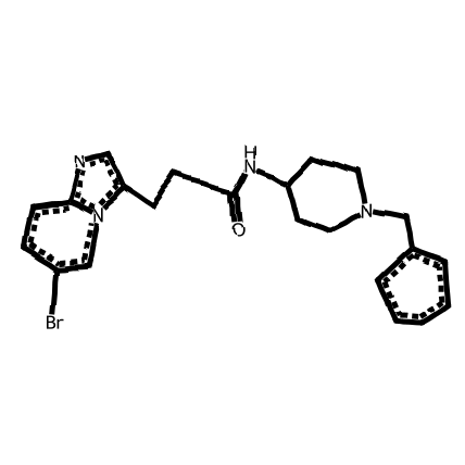 O=C(CCc1cnc2ccc(Br)cn12)NC1CCN(Cc2ccccc2)CC1